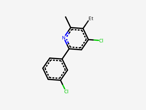 CCc1c(Cl)cc(-c2cccc(Cl)c2)nc1C